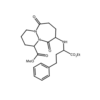 CCOC(=O)C(CCc1ccccc1)NC1CCC(=O)N2CCCC(C(=O)OC)N2C1=O